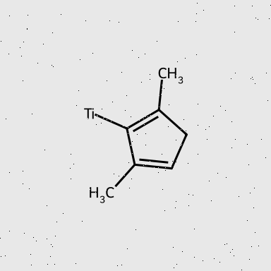 CC1=CCC(C)=[C]1[Ti]